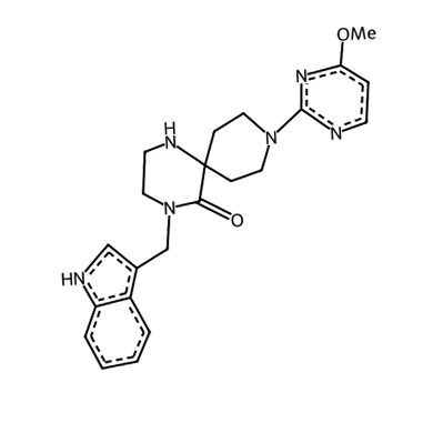 COc1ccnc(N2CCC3(CC2)NCCN(Cc2c[nH]c4ccccc24)C3=O)n1